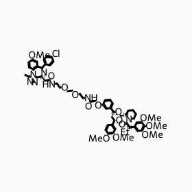 CC[C@H](C(=O)N1CCCC[C@H]1C(=O)O[C@H](CCc1ccc(OC)c(OC)c1)c1cccc(OCC(=O)NCCOCCOCCNC(=O)C[C@@H]2N=C(c3ccc(Cl)cc3)c3cc(OC)ccc3-n3c(C)nnc32)c1)c1cc(OC)c(OC)c(OC)c1